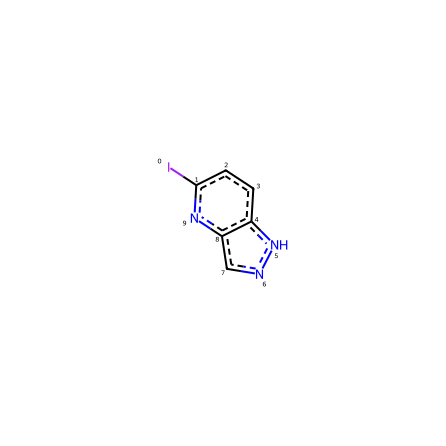 Ic1ccc2[nH]ncc2n1